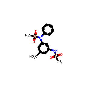 CS(=O)(=O)Nc1cc(C(=O)O)cc(N(c2ccccc2)S(C)(=O)=O)c1